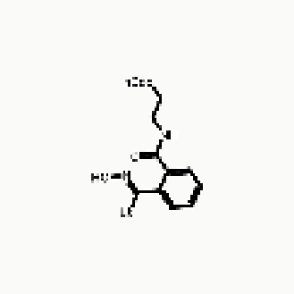 CCCCCCCCCCCCNC(=O)c1ccccc1C(CC)=NO